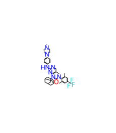 Cc1cc(C(F)(F)F)cc(C)c1N1Cc2cnc(Nc3ccc(N4CCN(C)CC4)cc3)nc2N(C23CC4CC(CC(C4)C2)C3)C1=O